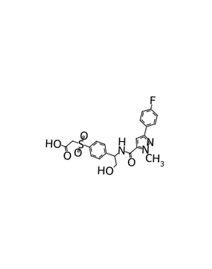 Cn1nc(-c2ccc(F)cc2)cc1C(=O)NC(CO)c1ccc(S(=O)(=O)CC(=O)O)cc1